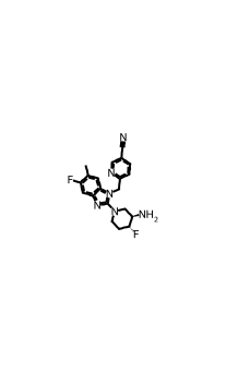 Cc1cc2c(cc1F)nc(N1CC[C@@H](F)[C@H](N)C1)n2Cc1ccc(C#N)cn1